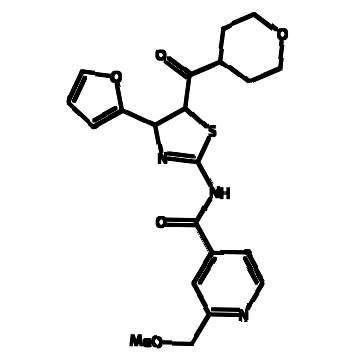 COCc1cc(C(=O)NC2=NC(c3ccco3)C(C(=O)C3CCOCC3)S2)ccn1